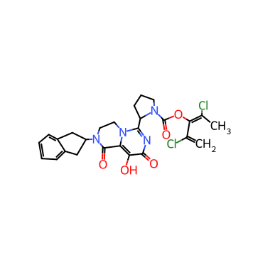 C=C(Cl)/C(OC(=O)N1CCCC1c1nc(=O)c(O)c2n1CCN(C1Cc3ccccc3C1)C2=O)=C(\C)Cl